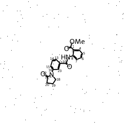 COC(=O)c1ccccc1NC(=O)c1cccc(N2CCCC2=O)c1